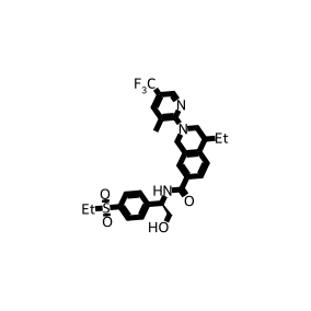 CCC1CN(c2ncc(C(F)(F)F)cc2C)Cc2cc(C(=O)N[C@@H](CO)c3ccc(S(=O)(=O)CC)cc3)ccc21